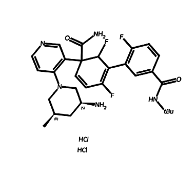 C[C@@H]1C[C@H](N)CN(c2ccncc2C2(C(N)=O)C=CC(F)=C(c3cc(C(=O)NC(C)(C)C)ccc3F)C2F)C1.Cl.Cl